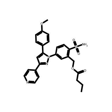 CCCC(=O)OCc1cc(-n2nc(-c3ccncc3)cc2-c2ccc(OC)cc2)ccc1S(N)(=O)=O